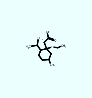 CCOC1(CC(=O)O)CC(C)CCC1C(C)C